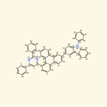 c1ccc(-c2cc(-c3cccc4c5ccc(-c6ccc7c(c6)c6ccccc6n7-c6ccccc6)cc5c5ccccc5c34)nc(-c3ccccc3)n2)cc1